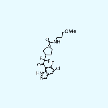 COCCCNC(=O)N1CCC(C(F)(F)C(=O)c2c(F)c(Cl)cc3cn[nH]c23)CC1